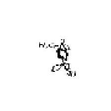 CN1C(=O)OC2CN(C(=O)OC(C)(C)C)CC21